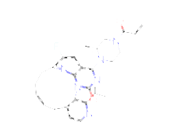 C=CC(=O)N1CCN(c2nc(=O)n3c4nc(c(F)cc24)CC/C=C\Cc2ccnc(C(C)C)c2-3)[C@@H](C)C1